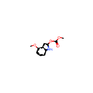 COC(=O)Oc1cc2c(OC)cccc2[nH]1